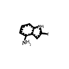 Nc1cccc2[nH]c(I)cc12